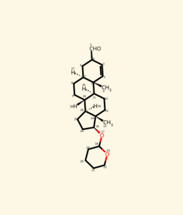 C[C@]12C=CC(C=O)C[C@@H]1CC[C@@H]1[C@@H]2CC[C@]2(C)[C@@H](OC3CCCCO3)CC[C@@H]12